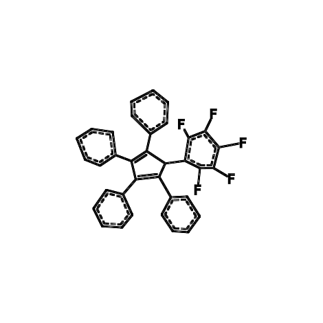 Fc1c(F)c(F)c(C2C(c3ccccc3)=C(c3ccccc3)C(c3ccccc3)=C2c2ccccc2)c(F)c1F